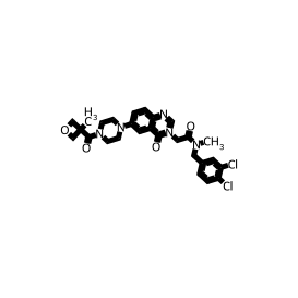 CN(Cc1ccc(Cl)c(Cl)c1)C(=O)Cn1cnc2ccc(N3CCN(C(=O)C4(C)COC4)CC3)cc2c1=O